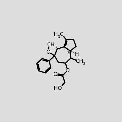 COC1(c2ccccc2)CC2=C(C)CC[C@H]2C(C)C(OC(=O)CO)C1